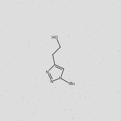 CC(C)(C)n1cc(CCO)nn1